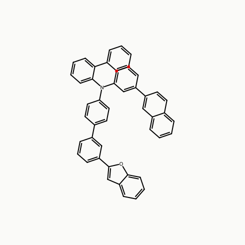 c1ccc(-c2ccccc2N(c2ccc(-c3cccc(-c4cc5ccccc5o4)c3)cc2)c2cccc(-c3ccc4ccccc4c3)c2)cc1